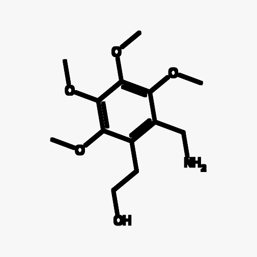 COc1c(CN)c(CCO)c(OC)c(OC)c1OC